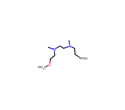 CC(=O)NCCN(C)CCN(C)CCOS(=O)(=O)O